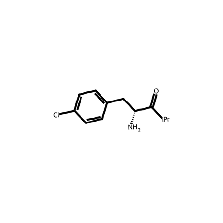 CC(C)C(=O)[C@H](N)Cc1ccc(Cl)cc1